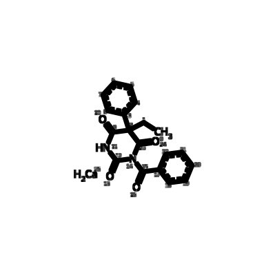 CCC1(c2ccccc2)C(=O)NC(=O)N(C(=O)c2ccccc2)C1=O.[CaH2]